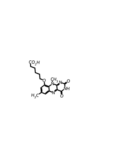 Cc1cc(OCCCCCC(=O)O)c2c(c1)nc1c(=O)[nH]c(=O)nc-1n2C